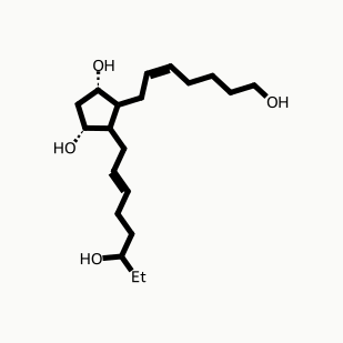 CCC(O)CC/C=C/CC1C(C/C=C\CCCCO)[C@@H](O)C[C@H]1O